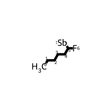 CCCCC[CH](F)[Sb]